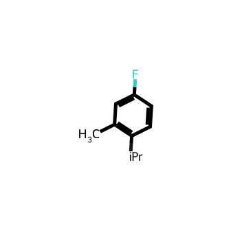 Cc1cc(F)ccc1C(C)C